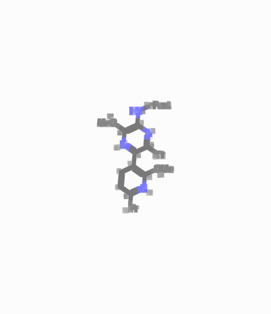 CCCCCNc1nc(CC)c(-c2ccc(C(C)C)nc2OC)nc1OC